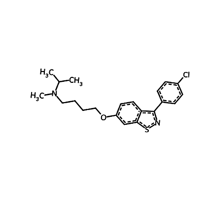 CC(C)N(C)CCCCOc1ccc2c(-c3ccc(Cl)cc3)nsc2c1